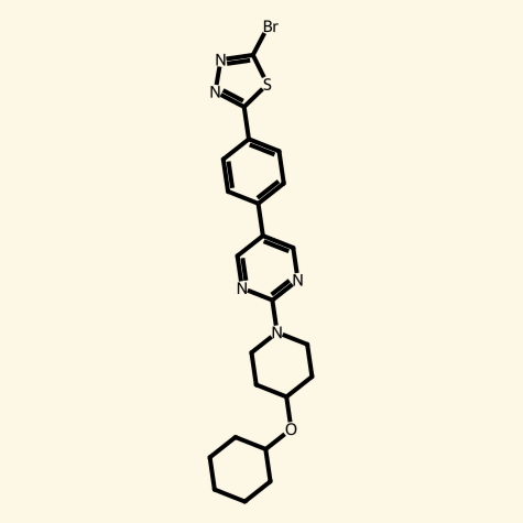 Brc1nnc(-c2ccc(-c3cnc(N4CCC(OC5CCCCC5)CC4)nc3)cc2)s1